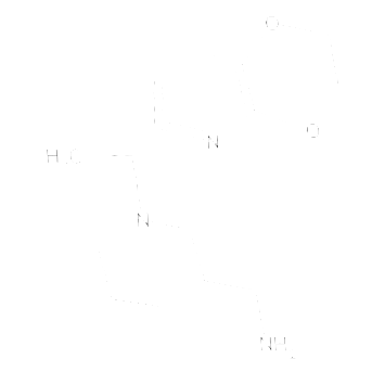 CC(c1ccc2c(n1)OCCO2)N1CCCC(CN)C1